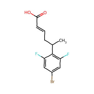 CC(CC=CC(=O)O)c1c(F)cc(Br)cc1F